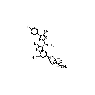 CCc1nc2c(C)cc(N3C[C@H]4CC3CN4S(C)(=O)=O)cn2c1N(C)c1nc(-c2ccc(F)cc2)c(C#N)s1